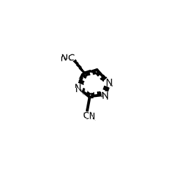 N#Cc1cnnc(C#N)n1